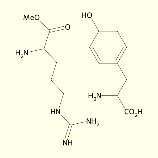 COC(=O)C(N)CCCNC(=N)N.NC(Cc1ccc(O)cc1)C(=O)O